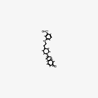 O=Cc1cccc(OCCC2CCN(c3nc4ccc(Cl)cc4s3)CC2)c1